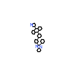 c1ccc(-c2nc3ccccc3nc2-c2cccc(-c3cccc(-c4c5ccccc5c(-c5cccnc5)c5ccccc45)c3)c2)cc1